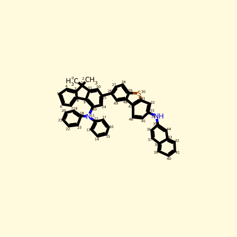 CC1(C)c2ccccc2-c2c(N(c3ccccc3)c3ccccc3)cc(-c3ccc4sc5cc(Nc6ccc7ccccc7c6)ccc5c4c3)cc21